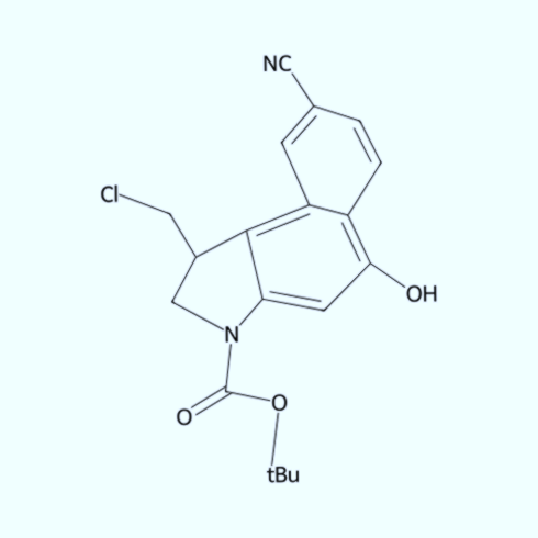 CC(C)(C)OC(=O)N1CC(CCl)c2c1cc(O)c1ccc(C#N)cc21